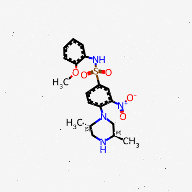 COc1ccccc1NS(=O)(=O)c1ccc(N2C[C@@H](C)NC[C@@H]2C)c([N+](=O)[O-])c1